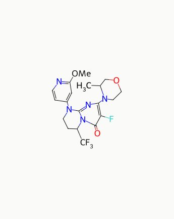 COc1cc(N2CCC(C(F)(F)F)n3c2nc(N2CCOCC2C)c(F)c3=O)ccn1